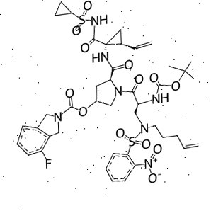 C=CCCCN(C[C@H](NC(=O)OC(C)(C)C)C(=O)N1CC(OC(=O)N2Cc3cccc(F)c3C2)C[C@H]1C(=O)N[C@]1(C(=O)NS(=O)(=O)C2CC2)C[C@H]1C=C)S(=O)(=O)c1ccccc1[N+](=O)[O-]